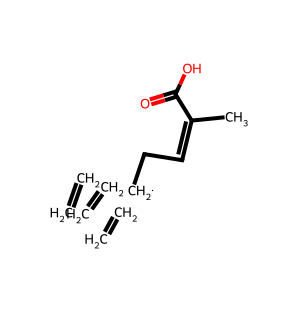 C=C.C=C.C=C.[CH2]CC=C(C)C(=O)O